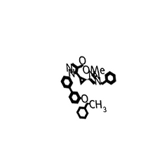 COC(=O)c1cnn(-c2cccc(-c3cccc(O[C@@H](C)C4CCCCC4)c3)c2)c1C1C[C@H]1c1cn(Cc2ccccc2)nn1